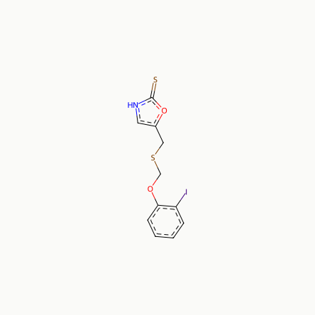 S=c1[nH]cc(CSCOc2ccccc2I)o1